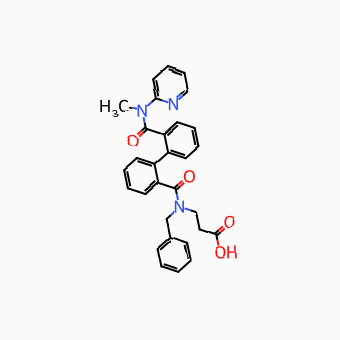 CN(C(=O)c1ccccc1-c1ccccc1C(=O)N(CCC(=O)O)Cc1ccccc1)c1ccccn1